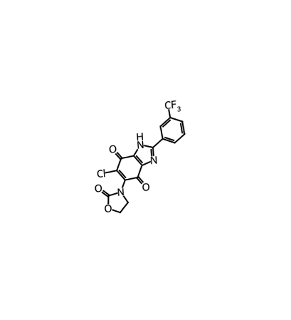 O=C1C(N2CCOC2=O)=C(Cl)C(=O)c2[nH]c(-c3cccc(C(F)(F)F)c3)nc21